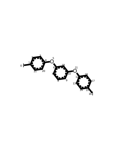 Ic1ccc(Oc2cccc(Oc3ccc(I)cc3)c2)cc1